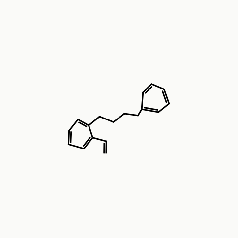 C=Cc1ccccc1CCCCc1ccccc1